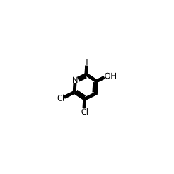 Oc1cc(Cl)c(Cl)nc1I